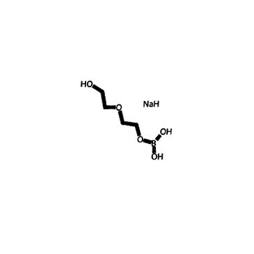 OCCOCCOB(O)O.[NaH]